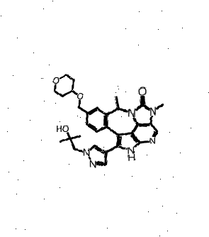 CC1c2cc(COC3CCOCC3)ccc2-c2c(-c3cnn(CC(C)(C)O)c3)[nH]c3ncc4c(c23)n1c(=O)n4C